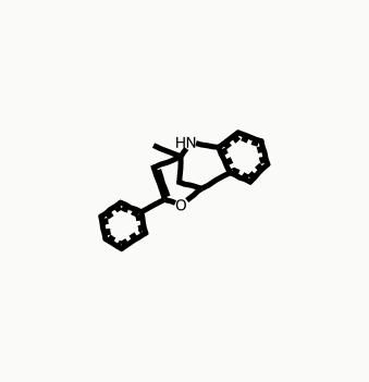 CC12C=C(c3ccccc3)OC(C1)c1ccccc1N2